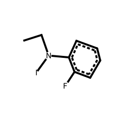 CCN(I)c1ccccc1F